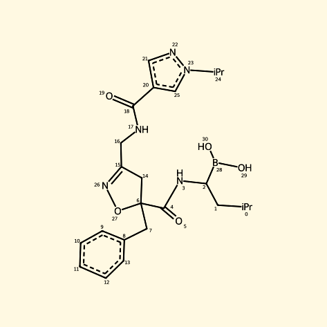 CC(C)CC(NC(=O)C1(Cc2ccccc2)CC(CNC(=O)c2cnn(C(C)C)c2)=NO1)B(O)O